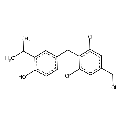 CC(C)c1cc(Cc2c(Cl)cc(CO)cc2Cl)ccc1O